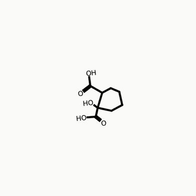 O=C(O)C1CCCCC1(O)C(=O)O